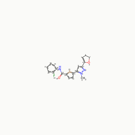 Cn1nc(C2=CCCO2)cc1-c1ccc(C(=O)Nc2ccccc2F)s1